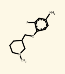 CN1CCCC(COc2ccc(N)cc2F)C1